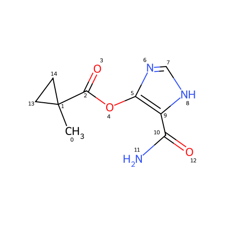 CC1(C(=O)Oc2nc[nH]c2C(N)=O)CC1